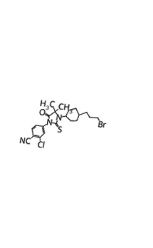 CC1(C)C(=O)N(c2ccc(C#N)c(Cl)c2)C(=S)N1C1CCC(CCCBr)CC1